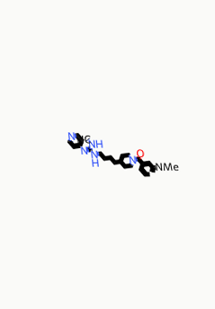 C=C(/C=C(\C=C/C)C(=O)N1CCC(CCCCN/C(=N/c2ccncc2)NC#N)CC1)NC